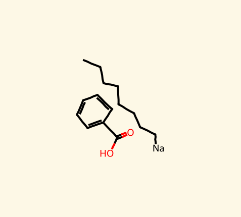 CCCCCCC[CH2][Na].O=C(O)c1ccccc1